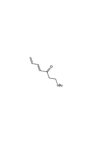 C=C/C=C/C(=O)CCCCCC